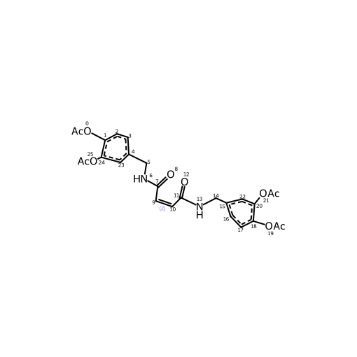 CC(=O)Oc1ccc(CNC(=O)/C=C\C(=O)NCc2ccc(OC(C)=O)c(OC(C)=O)c2)cc1OC(C)=O